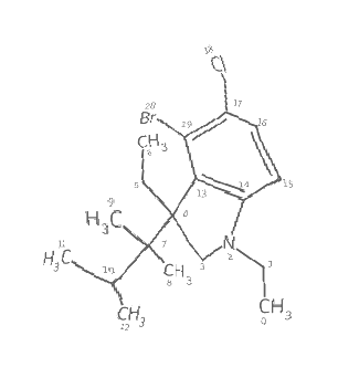 CCN1CC(CC)(C(C)(C)C(C)C)c2c1ccc(Cl)c2Br